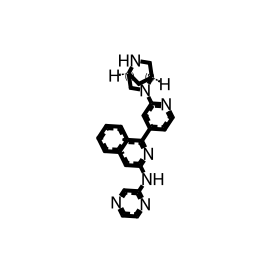 c1ccc2c(-c3ccnc(N4C[C@@H]5C[C@H]4CN5)c3)nc(Nc3cnccn3)cc2c1